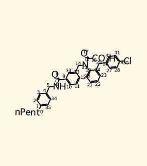 CCCCCc1ccc(CNC(=O)c2cccc(CN(C(=O)C(=O)O)c3ccccc3Cc3ccc(Cl)cc3)c2)cc1